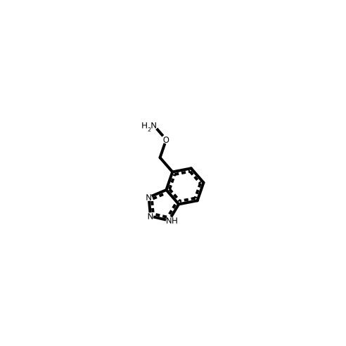 NOCc1cccc2[nH]nnc12